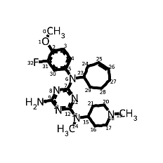 COc1ccc(N(c2nc(N)nc(N(C)C3CCN(C)CC3)n2)C2CC=CCCC2)cc1F